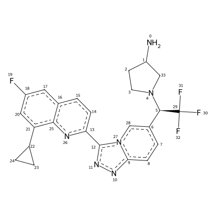 NC1CCN([C@H](c2ccc3nnc(-c4ccc5cc(F)cc(C6CC6)c5n4)n3c2)C(F)(F)F)C1